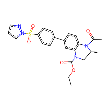 CCOC(=O)N1C[C@H](C)N(C(C)=O)c2ccc(-c3ccc(S(=O)(=O)n4cccn4)cc3)cc21